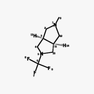 CN1C[C@@H]2CN(C(F)(F)F)C[C@@H]2C1